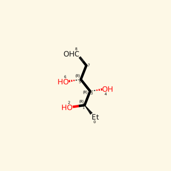 CC[C@@H](O)[C@@H](O)[C@H](O)CC=O